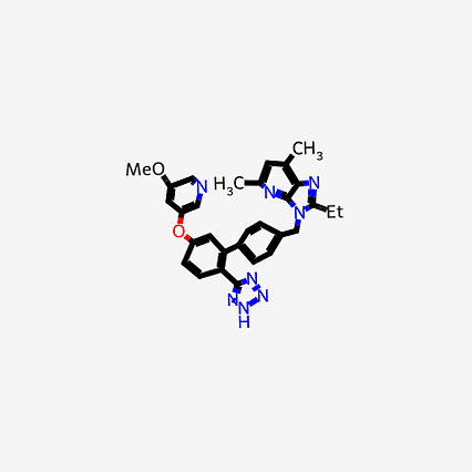 CCc1nc2c(C)cc(C)nc2n1Cc1ccc(-c2cc(Oc3cncc(OC)c3)ccc2-c2nn[nH]n2)cc1